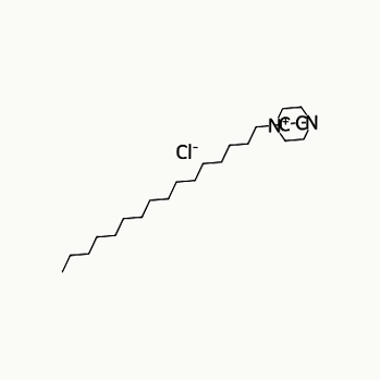 CCCCCCCCCCCCCCCC[N+]12CCN(CC1)CC2.[Cl-]